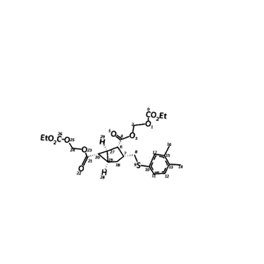 CCOC(=O)OCOC(=O)[C@@H]1[C@H](CSc2ccc(C)c(C)c2)C[C@H]2[C@H](C(=O)OCOC(=O)OCC)[C@H]21